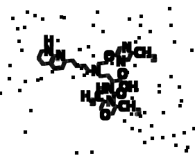 Cc1cnc(OCCN(CCCCc2ccc3c(n2)NCCC3)CCC(NC(=O)N2C(C)COCC2C)C(=O)O)cn1